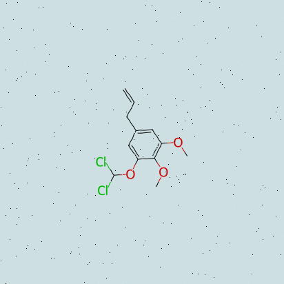 C=CCc1cc(OC)c(OC)c(OC(Cl)Cl)c1